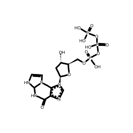 O=C1NC2NC=CN2c2c1ncn2[C@H]1C[C@H](O)[C@@H](COP(=O)(O)OP(=O)(O)OP(=O)(O)O)O1